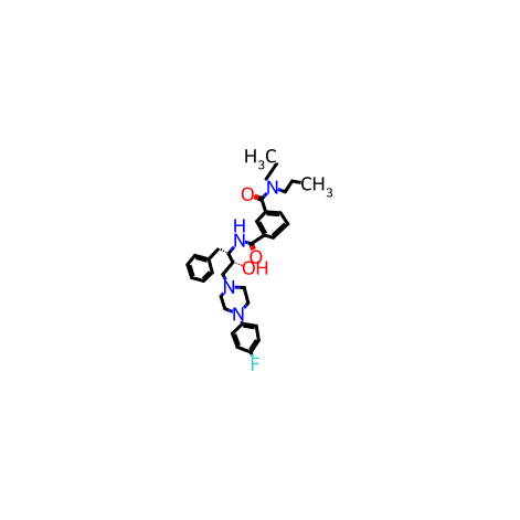 CCCN(CCC)C(=O)c1cccc(C(=O)N[C@@H](Cc2ccccc2)[C@H](O)CN2CCN(c3ccc(F)cc3)CC2)c1